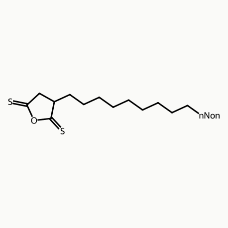 CCCCCCCCCCCCCCCCCCC1CC(=S)OC1=S